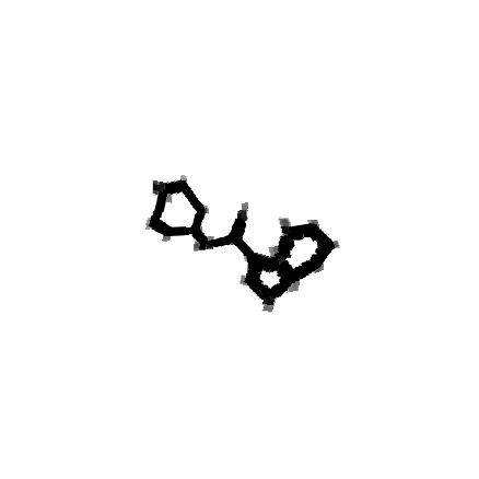 O=C(NC1CCNCC1)c1cnc2cccnn12